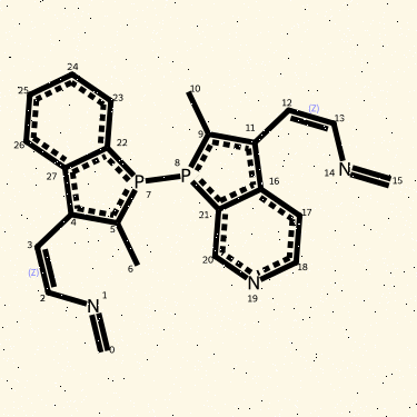 C=N/C=C\c1c(C)p(-p2c(C)c(/C=C\N=C)c3ccncc32)c2ccccc12